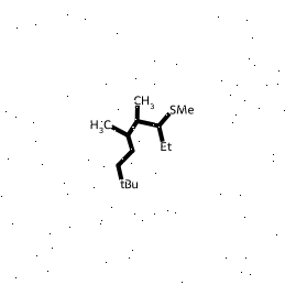 CCC(SC)C(C)C(C)CCC(C)(C)C